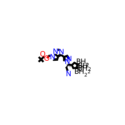 BC1(B)CC([C@@H](CC#N)n2cc(-c3ncnc4c3ccn4COC(=O)C(C)(C)C)cn2)CC1(B)B